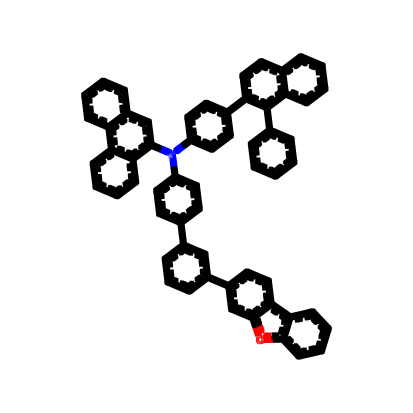 c1ccc(-c2c(-c3ccc(N(c4ccc(-c5cccc(-c6ccc7c(c6)oc6ccccc67)c5)cc4)c4cc5ccccc5c5ccccc45)cc3)ccc3ccccc23)cc1